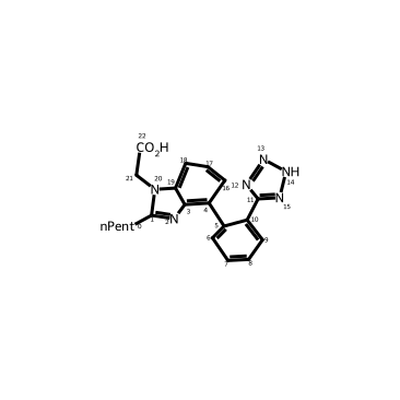 CCCCCc1nc2c(-c3ccccc3-c3nn[nH]n3)cccc2n1CC(=O)O